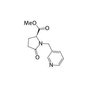 COC(=O)[C@@H]1CCC(=O)N1Cc1cccnc1